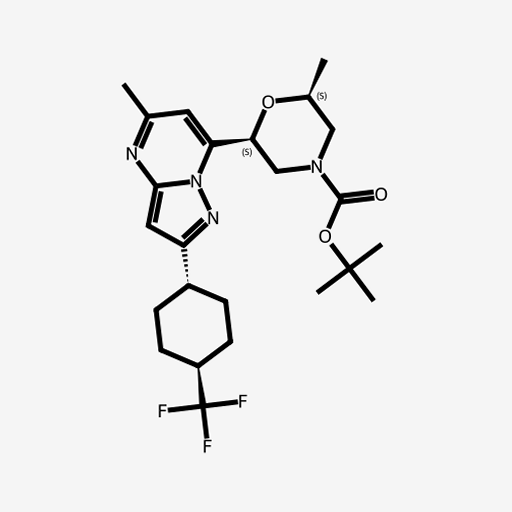 Cc1cc([C@@H]2CN(C(=O)OC(C)(C)C)C[C@H](C)O2)n2nc([C@H]3CC[C@H](C(F)(F)F)CC3)cc2n1